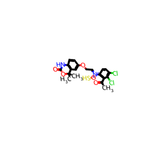 CC(=O)c1c([N+](=CCOc2ccc3c(c2)C(C)(C)OC(=O)N3)OS)ccc(Cl)c1Cl